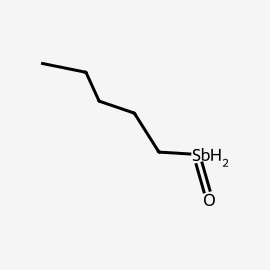 CCCC[CH2][SbH2]=[O]